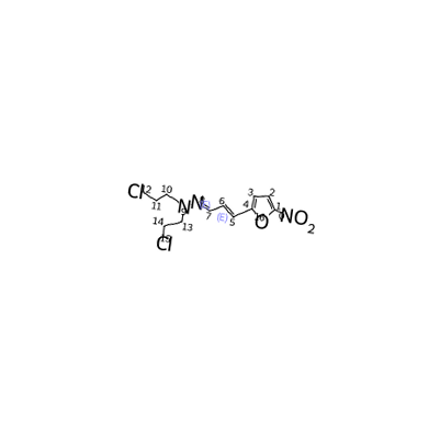 O=[N+]([O-])c1ccc(/C=C/C=N/N(CCCl)CCCl)o1